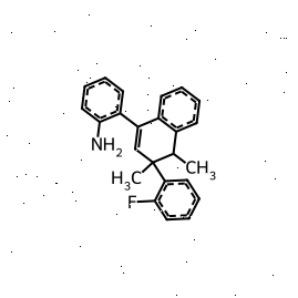 CC1c2ccccc2C(c2ccccc2N)=CC1(C)c1ccccc1F